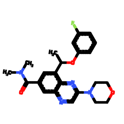 CC(Oc1cccc(F)c1)c1cc(C(=O)N(C)C)cc2ncc(N3CCOCC3)nc12